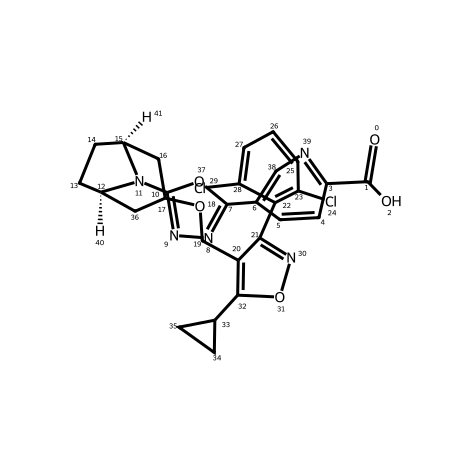 O=C(O)c1ccc(-c2nnc(N3[C@@H]4CC[C@H]3CC(OCc3c(-c5c(Cl)cccc5Cl)noc3C3CC3)C4)o2)cn1